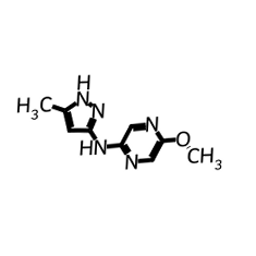 COc1cnc(Nc2cc(C)[nH]n2)cn1